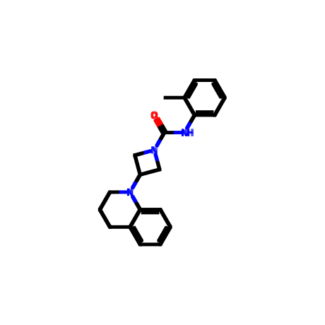 Cc1ccccc1NC(=O)N1CC(N2CCCc3ccccc32)C1